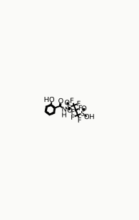 O=C(NS(=O)(=O)C(F)(F)C(F)(F)C(F)(F)S(=O)O)c1ccccc1O